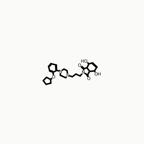 O=C1C2C(O)C=CC(O)C2C(=O)N1CCCN1CCN(c2ccccc2OC2CCCC2)CC1